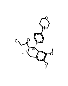 COc1cc2c(cc1OC)[C@@H](c1ccc(N3CCOCC3)cc1)N(C(=O)CCl)[C@@H](C)C2